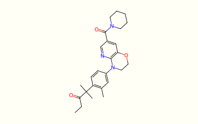 CCC(=O)C(C)(C)c1ccc(N2CCOc3cc(C(=O)N4CCCCC4)cnc32)cc1C